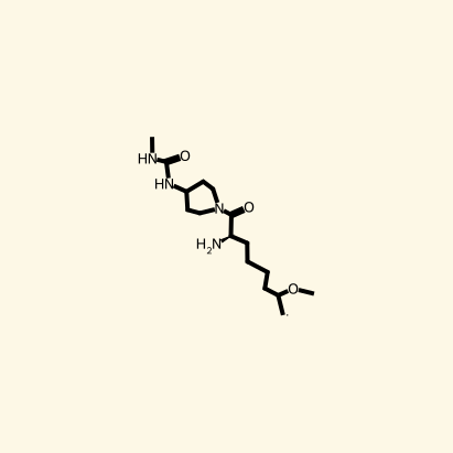 [CH2]C(CCCC[C@@H](N)C(=O)N1CCC(NC(=O)NC)CC1)OC